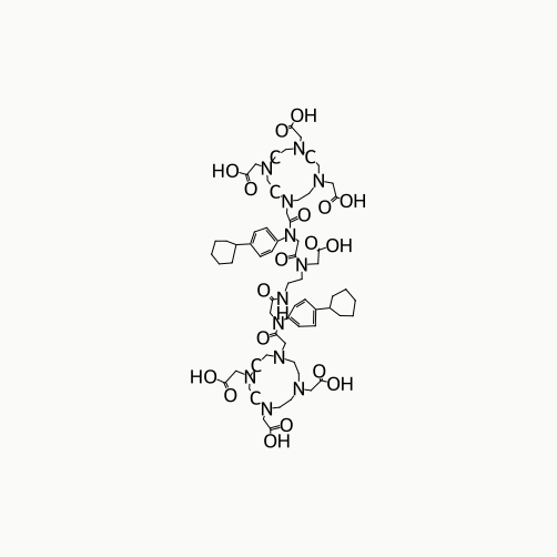 O=C(O)CN1CCN(CC(=O)O)CCN(CC(=O)N(CC(=O)NCCN(CC(=O)O)C(=O)CN(C(=O)CN2CCN(CC(=O)O)CCN(CC(=O)O)CCN(CC(=O)O)CC2)c2ccc(C3CCCCC3)cc2)c2ccc(C3CCCCC3)cc2)CCN(CC(=O)O)CC1